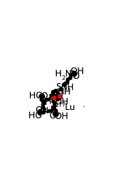 N[C@@H](CCCCNC(=S)Nc1ccc(C[C@H]2CN(CC(=O)O)CCN(CC(=O)O)CCN(CC(=O)O)CCN2CC(=O)O)cc1)C(=O)O.[177Lu]